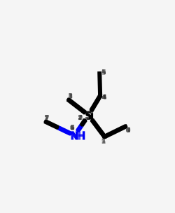 CC[Si](C)(CC)NC